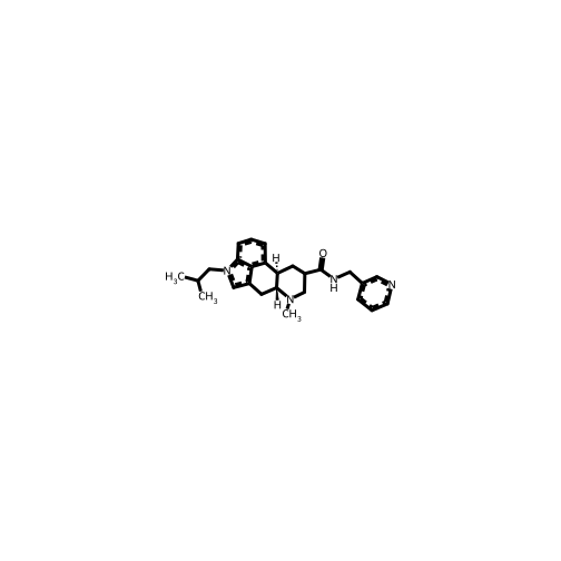 CC(C)Cn1cc2c3c(cccc31)[C@H]1CC(C(=O)NCc3cccnc3)CN(C)[C@@H]1C2